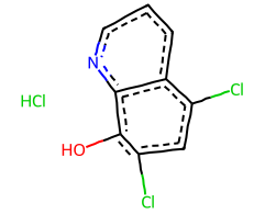 Cl.Oc1c(Cl)cc(Cl)c2cccnc12